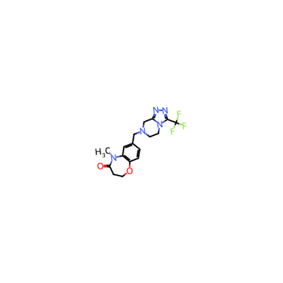 CN1C(=O)CCOc2ccc(CN3CCn4c(nnc4C(F)(F)F)C3)cc21